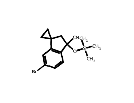 C[Si](C)(C)OC1(C#N)CC2(CC2)c2cc(Br)ccc21